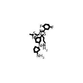 Cc1nnc(N2N=C(c3cc(F)ccc3F)SC2(CCCN)c2cccc(Nc3cccc(N)c3)c2)s1